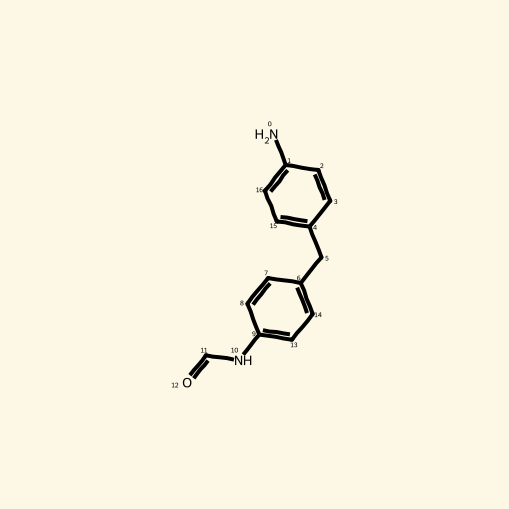 Nc1ccc(Cc2ccc(NC=O)cc2)cc1